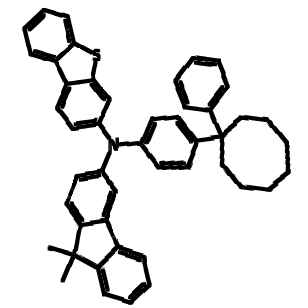 CC1(C)c2ccccc2-c2cc(N(c3ccc(C4(c5ccccc5)CCCCCCC4)cc3)c3ccc4c(c3)sc3ccccc34)ccc21